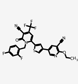 CCOc1ncc(-c2csc(-c3cc(C(F)(F)F)c(C#N)c(=O)n3Cc3ccc(F)cc3F)c2)cc1C#N